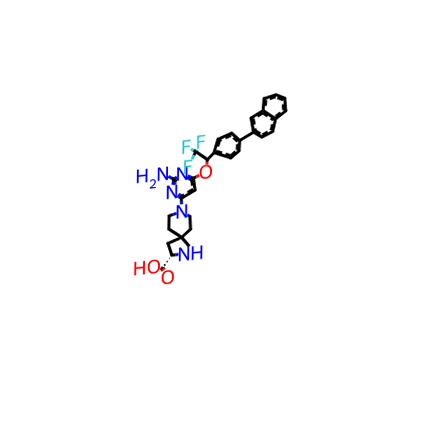 Nc1nc(OC(c2ccc(-c3ccc4ccccc4c3)cc2)C(F)(F)F)cc(N2CCC3(CC2)CN[C@H](C(=O)O)C3)n1